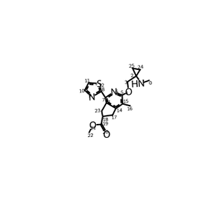 CNC1(COc2nc(-c3nccs3)c3c(c2C)CC(C(=O)OC)C3)CC1